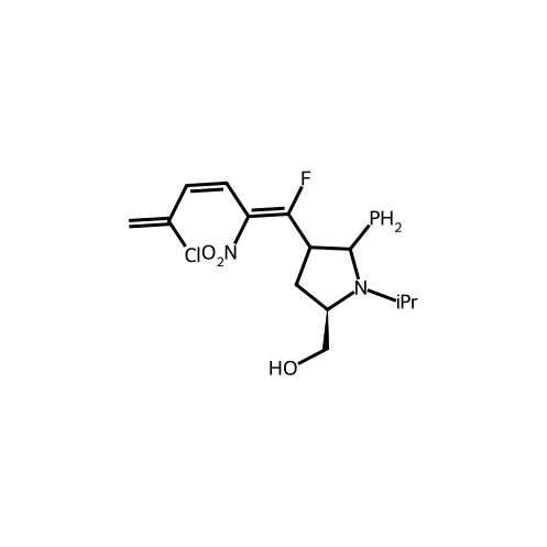 C=C(Cl)/C=C\C(=C(/F)C1C[C@H](CO)N(C(C)C)C1P)[N+](=O)[O-]